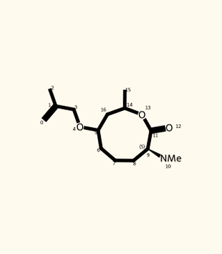 C=C(C)COC1CCC[C@H](NC)C(=O)OC(C)C1